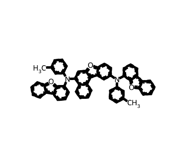 Cc1cccc(N(c2ccc3oc4cc(N(c5cccc(C)c5)c5cccc6c5oc5ccccc56)c5ccccc5c4c3c2)c2cccc3c2oc2ccccc23)c1